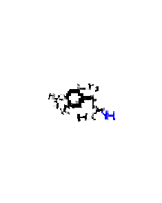 CC(=C=Cc1cc(C)c(C)cc1C)C=N